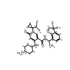 CC(NC(=O)c1cn(C2(C(F)F)CC2)c(=O)cc1NC1CCN(C)CC1)c1cccc2c1OCC2(F)F